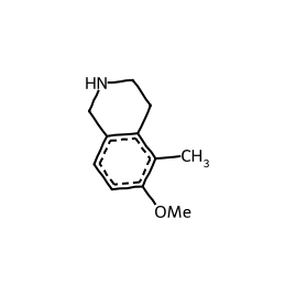 COc1ccc2c(c1C)CCNC2